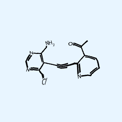 CC(=O)c1cccnc1C#Cc1c(N)ncnc1Cl